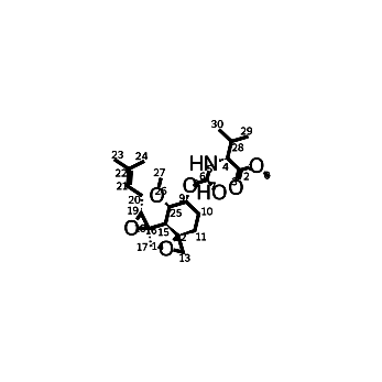 COC(=O)[C@H](N[C@@H](O)O[C@@H]1CC[C@]2(CO2)[C@@H]([C@@]2(C)O[C@@H]2CC=C(C)C)[C@@H]1OC)C(C)C